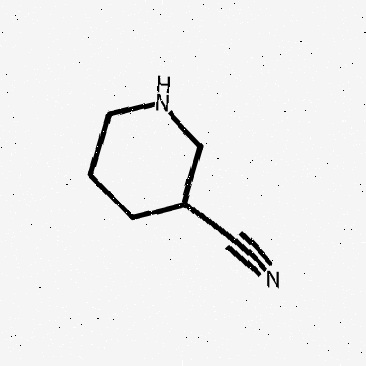 N#CC1CCCNC1